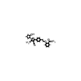 N#Cc1c(-c2ccc(CCOc3ccccc3C(N)=O)cc2)nn([C@@H]2CCC[C@H]2O)c1N